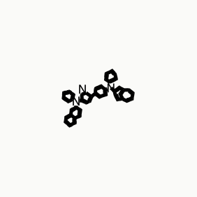 C1=CC2=CC(C=C1)C=CC(N(c1ccccc1)c1ccc(C3=CC=C(N(c4ccccc4)c4ccc5ccccc5c4)C4=NC34)cc1)=C2